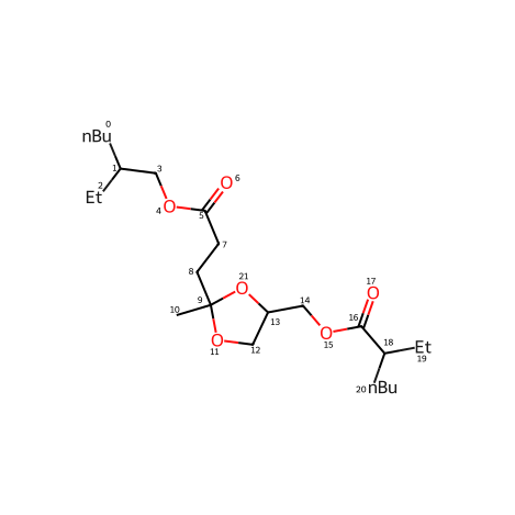 CCCCC(CC)COC(=O)CCC1(C)OCC(COC(=O)C(CC)CCCC)O1